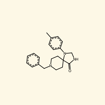 Cc1ccc(N2CNC(=O)C23CCN(Cc2ccccc2)CC3)cc1